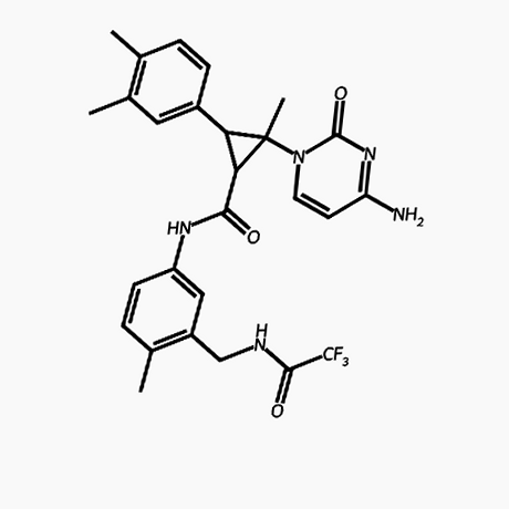 Cc1ccc(C2C(C(=O)Nc3ccc(C)c(CNC(=O)C(F)(F)F)c3)C2(C)n2ccc(N)nc2=O)cc1C